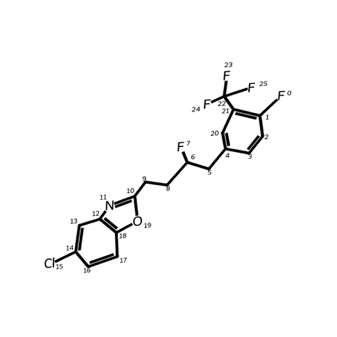 Fc1ccc(CC(F)CCc2nc3cc(Cl)ccc3o2)cc1C(F)(F)F